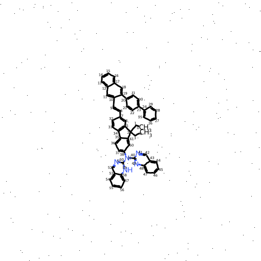 CCC1(CC)c2cc(/C=C/c3cc4ccccc4cc3-c3ccc(-c4ccccc4)cc3)ccc2-c2ccc(N(c3ncc4ccccc4n3)C3N=Cc4ccccc4N3)cc21